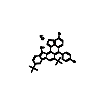 CC(C)(C)c1ccc2c(c1)=c1cc(C(C)(C)C)c(=C(c3ccc(Br)cc3)c3ccc(Br)cc3)c(C3=CC=CC3)c1[C]=2[Zr+2].[Cl-].[Cl-]